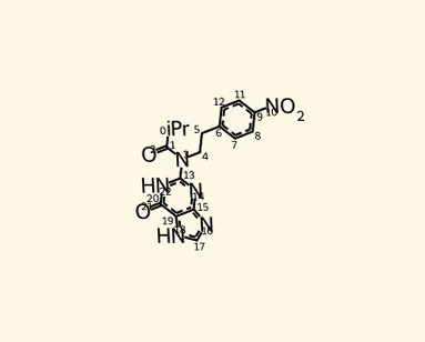 CC(C)C(=O)N(CCc1ccc([N+](=O)[O-])cc1)c1nc2nc[nH]c2c(=O)[nH]1